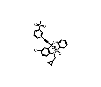 CS(=O)(=O)c1cccc(C#CC(O)(c2cc(Cl)ccc2N(CC2CC2)S(=O)(=O)c2ccccc2)C(F)(F)F)c1